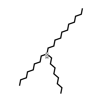 CCCCCCCCCCC[SiH](CCCCCCCC)CCCCCCCC